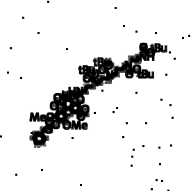 COc1cc(C2c3cc4c(cc3[C@@H](NC(=O)NCCCN(CCCN(CCCCN(CCCNC(=O)OC(C)(C)C)C(=O)OC(C)(C)C)C(=O)OC(C)(C)C)C(=O)OC(C)(C)C)[C@H]3COC(=O)[C@H]23)OCO4)cc(OC)c1OC(=O)OCc1ccccc1